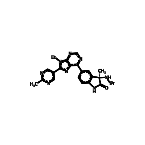 CCn1c(-c2cnc(C)nc2)nc2c(-c3ccc4c(c3)[C@@](C)(NC(C)C)C(=O)N4)ncnc21